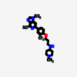 CN1CCC(NCCCOc2ccc(-c3cc4c(ncn4C)c(C#N)n3)cc2C(F)(F)F)CC1